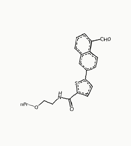 CCCOCCNC(=O)c1ccc(-c2ccc3c(C=O)cccc3c2)s1